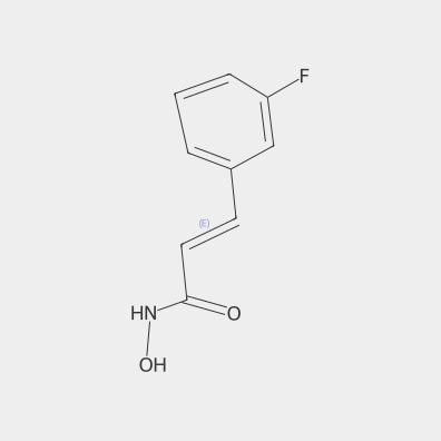 O=C(/C=C/c1cccc(F)c1)NO